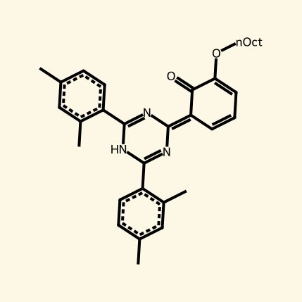 CCCCCCCCOC1=CC=CC(=C2N=C(c3ccc(C)cc3C)NC(c3ccc(C)cc3C)=N2)C1=O